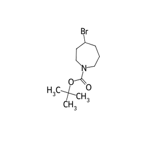 CC(C)(C)OC(=O)N1CCCC(Br)CC1